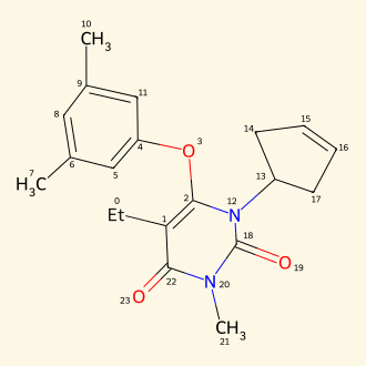 CCc1c(Oc2cc(C)cc(C)c2)n(C2CC=CC2)c(=O)n(C)c1=O